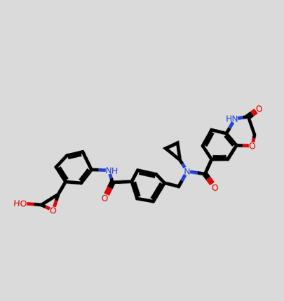 O=C1COc2cc(C(=O)N(Cc3ccc(C(=O)Nc4cccc(C5OC5O)c4)cc3)C3CC3)ccc2N1